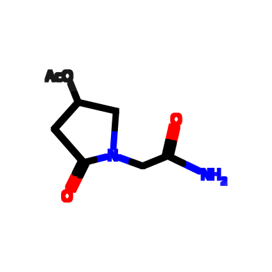 CC(=O)OC1CC(=O)N(CC(N)=O)C1